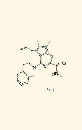 C=CCn1c(C)c(C)c2cc(C(=O)NC)nc(N3CCc4ccccc4C3)c21.Cl